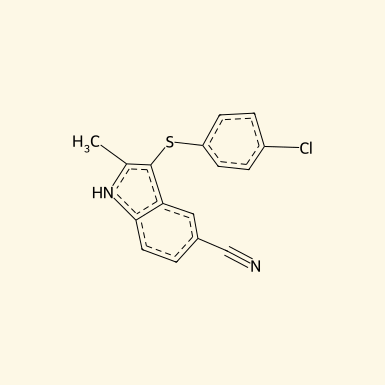 Cc1[nH]c2ccc(C#N)cc2c1Sc1ccc(Cl)cc1